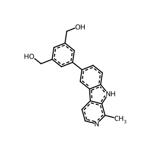 Cc1nccc2c1[nH]c1ccc(-c3cc(CO)cc(CO)c3)cc12